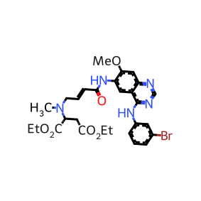 CCOC(=O)CC(C(=O)OCC)N(C)C/C=C/C(=O)Nc1cc2c(Nc3cccc(Br)c3)ncnc2cc1OC